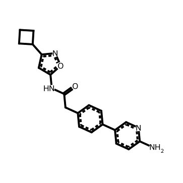 Nc1ccc(-c2ccc(CC(=O)Nc3cc(C4CCC4)no3)cc2)cn1